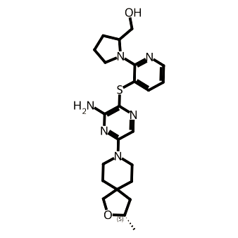 C[C@H]1CC2(CCN(c3cnc(Sc4cccnc4N4CCCC4CO)c(N)n3)CC2)CO1